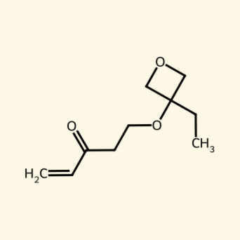 C=CC(=O)CCOC1(CC)COC1